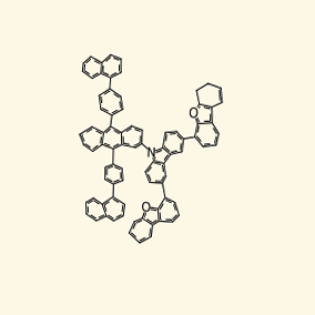 C1=Cc2c(oc3c(-c4ccc5c(c4)c4cc(-c6cccc7c6oc6ccccc67)ccc4n5-c4ccc5c(-c6ccc(-c7cccc8ccccc78)cc6)c6ccccc6c(-c6ccc(-c7cccc8ccccc78)cc6)c5c4)cccc23)CC1